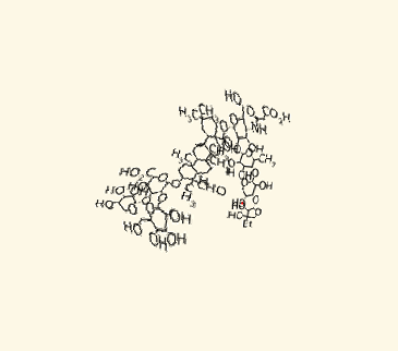 CC[C@]1(O)CO[C@@H](OC2C(O)[C@H](O[C@H]3C(C)O[C@@H](OC4C(O)[C@@H](NC(=O)CC(=O)O)C(CO)O[C@H]4OC(=O)[C@]45CCC(C)(C)CC4C4=CCC6C7(C)CC[C@H](O[C@@H]8OC(C(=O)O)[C@@H](O)[C@H](O[C@@H]9OC[C@@H](O)[C@H](O)C9O)C8O[C@@H]8OC(CO)[C@H](O)[C@H](O)C8O)[C@](C)(C=O)[C@@H]7CCC6(C)[C@]4(C)CC5O)C(O)C3O)OC[C@H]2O)C1O